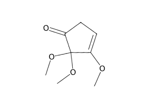 COC1=CCC(=O)C1(OC)OC